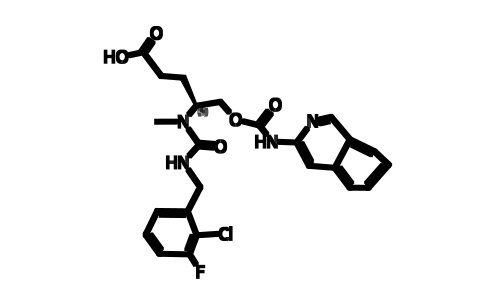 CN(C(=O)NCc1cccc(F)c1Cl)[C@@H](CCC(=O)O)COC(=O)Nc1cc2ccccc2cn1